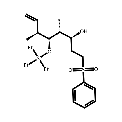 C=C[C@H](C)[C@H](O[Si](CC)(CC)CC)[C@H](C)[C@@H](O)CCS(=O)(=O)c1ccccc1